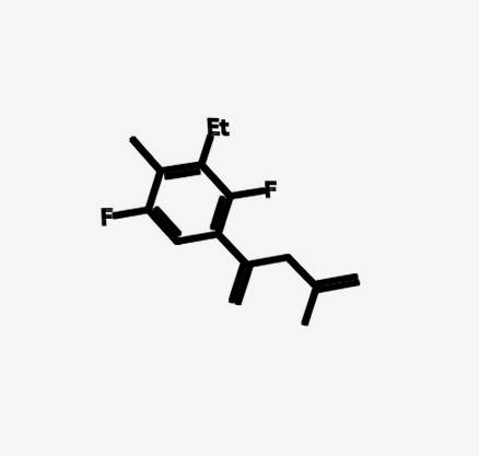 C=C(C)CC(=C)c1cc(F)c(C)c(CC)c1F